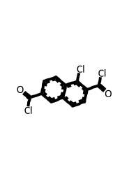 O=C(Cl)c1ccc2c(Cl)c(C(=O)Cl)ccc2c1